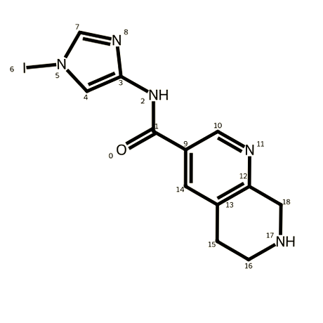 O=C(Nc1cn(I)cn1)c1cnc2c(c1)CCNC2